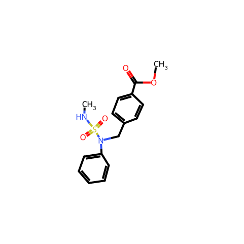 CNS(=O)(=O)N(Cc1ccc(C(=O)OC)cc1)c1ccccc1